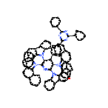 c1ccc(-c2nc(-c3ccccc3)nc(-c3ccc(-c4c(-n5c6ccccc6c6ccc7ccccc7c65)c(-n5c6ccccc6c6ccc7ccccc7c65)nc(-n5c6ccccc6c6ccc7ccccc7c65)c4-n4c5ccccc5c5ccc6ccccc6c54)cc3)n2)cc1